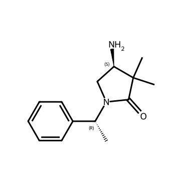 C[C@H](c1ccccc1)N1C[C@@H](N)C(C)(C)C1=O